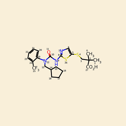 CC(C)(CSc1cnc(NC(=O)N(CC2CCCC2)c2ccccc2C(F)(F)F)s1)C(=O)O